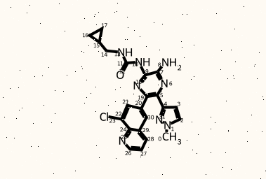 Cn1ccc(-c2nc(N)c(NC(=O)NCC3CC3)nc2-c2cc(Cl)c3ncccc3c2)n1